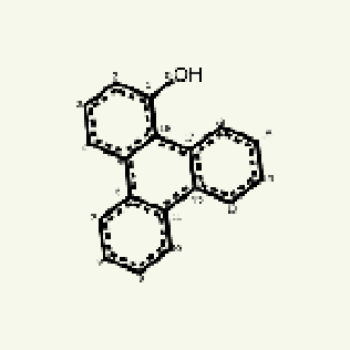 Oc1cccc2c3ccccc3c3ccccc3c12